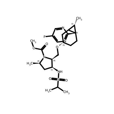 COC(=O)N1[C@H](C)C[C@H](NS(=O)(=O)C(C)C)[C@@H]1CO[C@H]1CC[C@]2(c3ncc(F)cn3)C(C1)[C@@H]2C